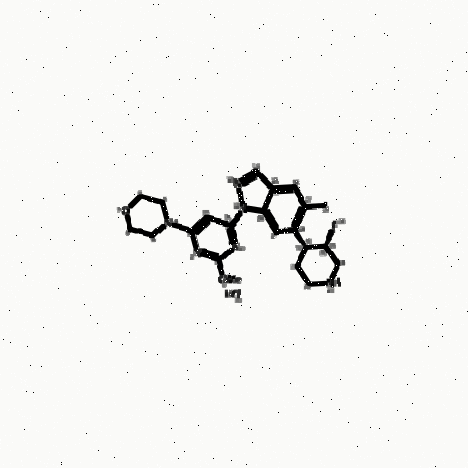 COc1nc(N2CCOCC2)cc(-n2ncc3cc(C)c([C@@H]4CCNC[C@@H]4F)cc32)n1.Cl